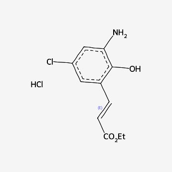 CCOC(=O)/C=C/c1cc(Cl)cc(N)c1O.Cl